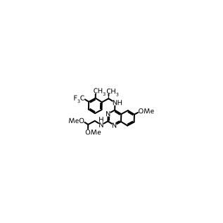 COc1ccc2nc(NCC(OC)OC)nc(N[C@H](C)c3cccc(C(F)(F)F)c3C)c2c1